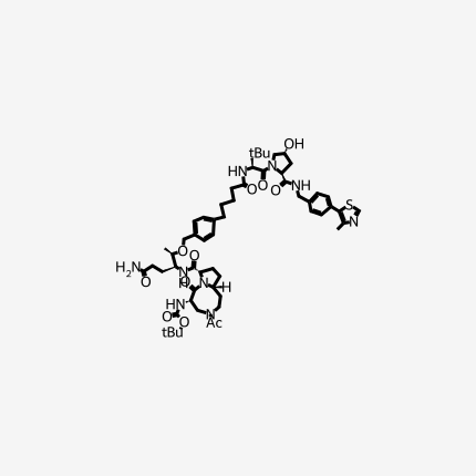 CC(=O)N1CC[C@H]2CC[C@@H](C(=O)N[C@@H](CCC(N)=O)[C@@H](C)OCc3ccc(CCCCC(=O)N[C@H](C(=O)N4C[C@H](O)C[C@H]4C(=O)NCc4ccc(-c5scnc5C)cc4)C(C)(C)C)cc3)N2C(=O)[C@@H](NC(=O)OC(C)(C)C)C1